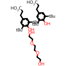 CC(C)(C)c1cc(CCC(=O)O)cc(C(C)(C)C)c1O.CC(C)(C)c1cc(CCC(=O)O)cc(C(C)(C)C)c1O.OCCOCCOCCO